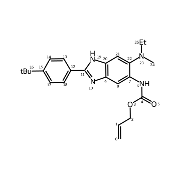 C=CCOC(=O)Nc1cc2nc(-c3ccc(C(C)(C)C)cc3)[nH]c2cc1N(C)CC